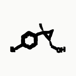 C[C@]1(c2ccc(Br)cc2)C[C@@H]1CO